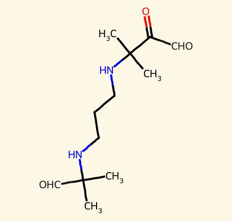 CC(C)(C=O)NCCCNC(C)(C)C(=O)C=O